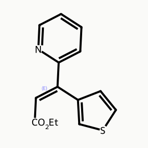 CCOC(=O)/C=C(\c1ccsc1)c1ccccn1